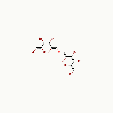 Br/C=C(Br)/C(Br)=C(Br)\C(Br)=C\O/C=C(Br)/C(Br)=C(Br)\C(Br)=C\Br